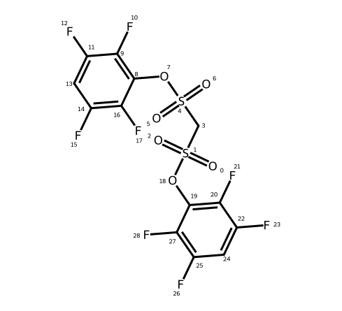 O=S(=O)(CS(=O)(=O)Oc1c(F)c(F)cc(F)c1F)Oc1c(F)c(F)cc(F)c1F